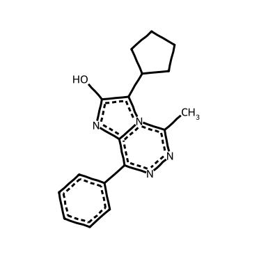 Cc1nnc(-c2ccccc2)c2nc(O)c(C3CCCC3)n12